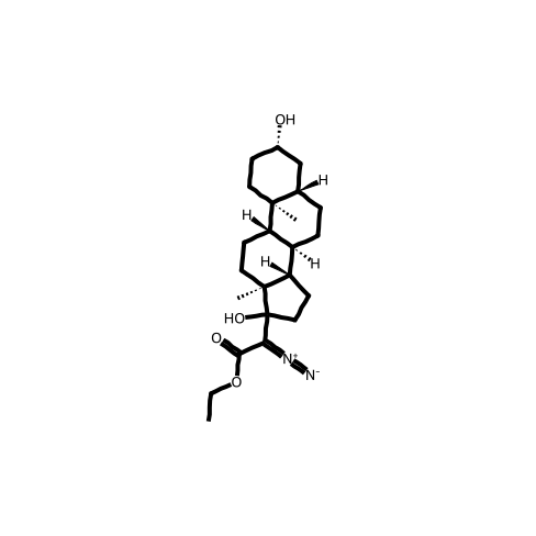 CCOC(=O)C(=[N+]=[N-])C1(O)CC[C@H]2[C@@H]3CC[C@H]4C[C@@H](O)CC[C@]4(C)[C@H]3CC[C@@]21C